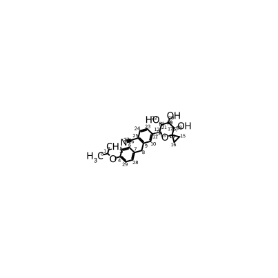 CC(C)Oc1ccc(Cc2cc([C@@H]3OC4(CC4)[C@@H](O)[C@H](O)[C@@H]3O)ccc2C#N)cc1